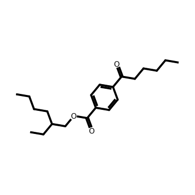 CCCCCC(=O)c1ccc(C(=O)OCC(CC)CCCC)cc1